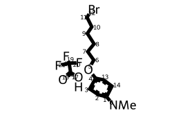 CNc1ccc(OCCCCCCBr)cc1.O=C(O)C(F)(F)F